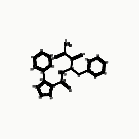 NC(=O)C(=O)C(Cc1ccccn1)NC(=O)c1ocnc1-c1ccccn1